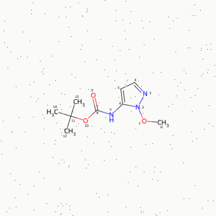 COn1nccc1NC(=O)OC(C)(C)C